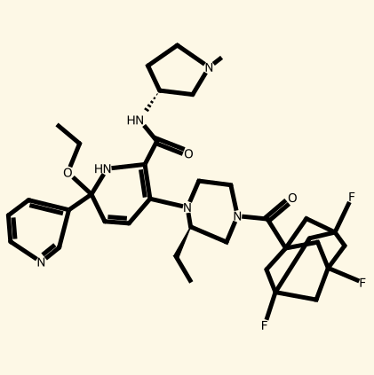 CCOC1(c2cccnc2)C=CC(N2CCN(C(=O)C34CC5(F)CC(F)(CC(F)(C5)C3)C4)C[C@H]2CC)=C(C(=O)N[C@@H]2CCN(C)C2)N1